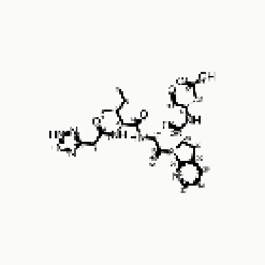 CC[C@H](C)[C@H](NC(=O)Cc1nn[nH]n1)C(=O)NCC(=O)N1c2ncccc2C[C@H]1C(=O)N[C@H](C=O)CC(=O)O